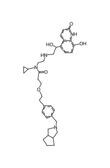 O=C(CCOCCc1ccc(CN2CC3CCCC3C2)cc1)N(CCNCC(O)c1ccc(O)c2[nH]c(=O)ccc12)C1CC1